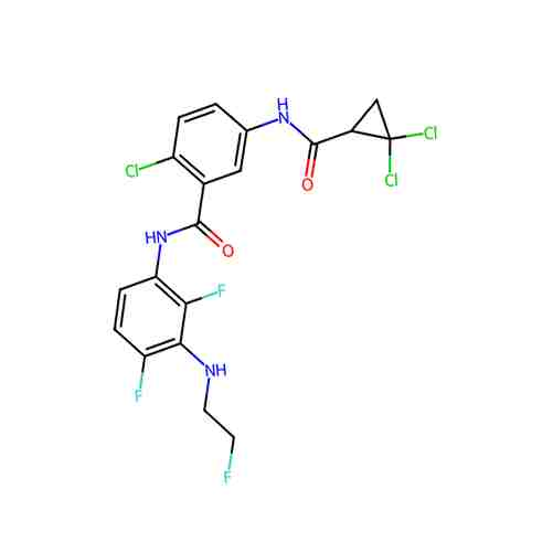 O=C(Nc1ccc(F)c(NCCF)c1F)c1cc(NC(=O)C2CC2(Cl)Cl)ccc1Cl